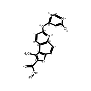 Cc1c(C(=O)NC(C)C)sc2ccc3nc(Oc4cc(Cl)ncn4)ccc3c12